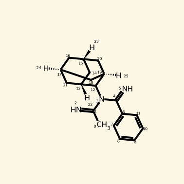 CC(=N)N(C(=N)c1ccccc1)C1[C@H]2C[C@@H]3C[C@@H](C[C@H]1C3)C2